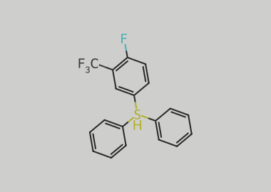 Fc1ccc([SH](c2ccccc2)c2ccccc2)cc1C(F)(F)F